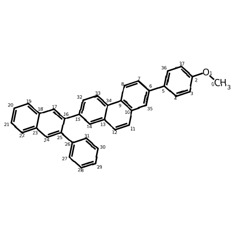 COc1ccc(-c2ccc3c(ccc4cc(-c5cc6ccccc6cc5-c5ccccc5)ccc43)c2)cc1